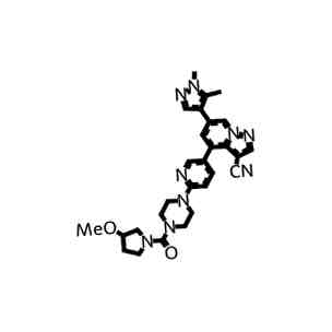 COC1CCN(C(=O)N2CCN(c3ccc(-c4cc(-c5cnn(C)c5C)cn5ncc(C#N)c45)cn3)CC2)C1